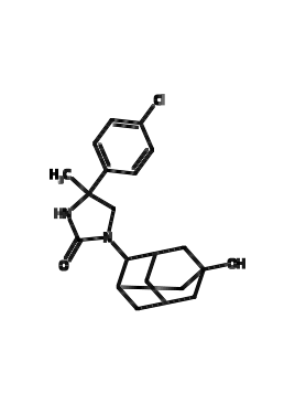 CC1(c2ccc(Cl)cc2)CN(C2C3CC4CC2CC(O)(C4)C3)C(=O)N1